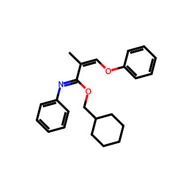 CC(=COc1ccccc1)C(=Nc1ccccc1)OCC1CCCCC1